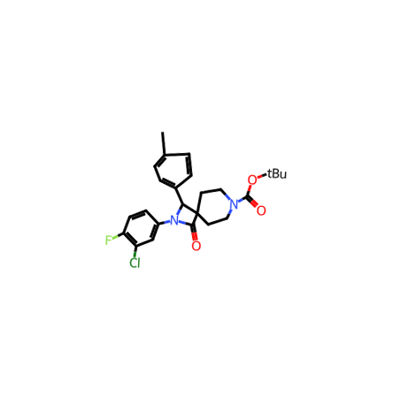 Cc1ccc(C2N(c3ccc(F)c(Cl)c3)C(=O)C23CCN(C(=O)OC(C)(C)C)CC3)cc1